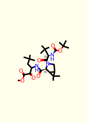 COC(=O)C(=O)C(CC(C)(C)C)NC(=O)[C@@H]1C2C(CN1C(=O)[C@@H](NC(=O)OC(C)(C)C)C(C)(C)C)C2(C)C